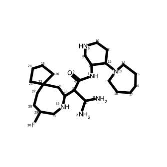 NC(N)C(C(=O)NC1CNCCC1N1CCCCCC1)C1CC2(CCCC2)CCC(F)CN1